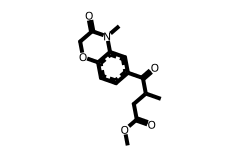 COC(=O)CC(C)C(=O)c1ccc2c(c1)N(C)C(=O)CO2